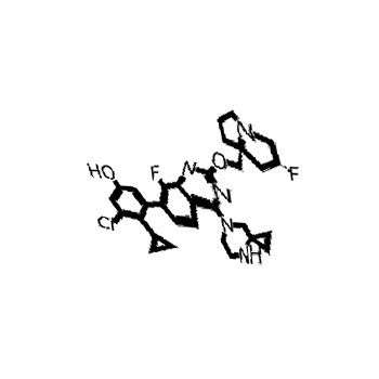 Oc1cc(Cl)c(C2CC2)c(-c2ccc3c(N4CCNC5(CC5)C4)nc(OC[C@@]45CCCN4C[C@H](F)C5)nc3c2F)c1